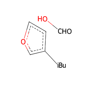 CCC(C)c1ccoc1.O=CO